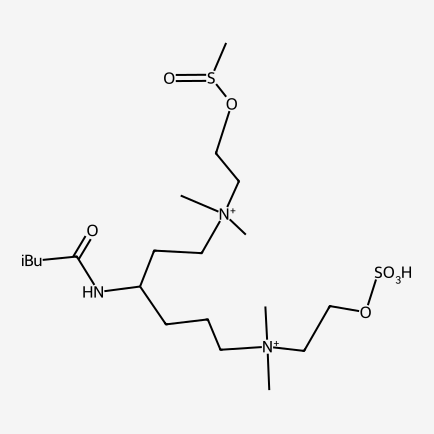 CCC(C)C(=O)NC(CCC[N+](C)(C)CCOS(=O)(=O)O)CC[N+](C)(C)CCOS(C)=O